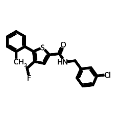 Cc1ccccc1-c1sc(C(=O)NCc2cccc(Cl)c2)cc1CF